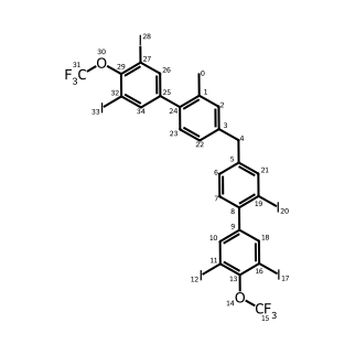 Cc1cc(Cc2ccc(-c3cc(I)c(OC(F)(F)F)c(I)c3)c(I)c2)ccc1-c1cc(I)c(OC(F)(F)F)c(I)c1